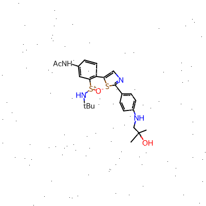 CC(=O)Nc1ccc(-c2cnc(-c3ccc(NCC(C)(C)O)cc3)s2)c([S+]([O-])NC(C)(C)C)c1